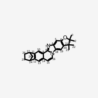 CC1(C)Oc2cc3nc4c5cc6c(cc5ccn4c3cc2C1(C)C)C1CCC6C1